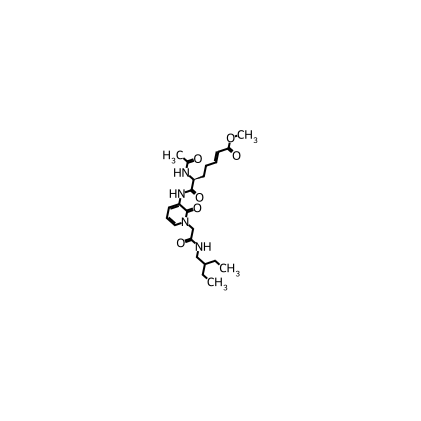 CCC(CC)CNC(=O)Cn1cccc(NC(=O)[C@H](CCC=CC(=O)OC)NC(C)=O)c1=O